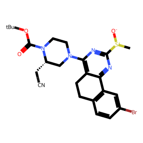 C[S+]([O-])c1nc2c(c(N3CCN(C(=O)OC(C)(C)C)[C@@H](CC#N)C3)n1)CCc1ccc(Br)cc1-2